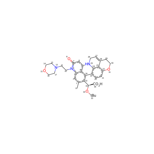 Cc1cc2c(ccc(=O)n2CCN2CCOCC2)c(-c2ccc3c4c2NCC=C4CCO3)c1[C@H](OC(C)(C)C)C(=O)O